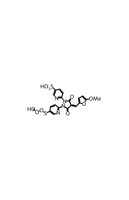 COc1ccc(/C=C2/C(=O)N(c3ccc(SOOO)cn3)N(c3ccc(S(=O)(=O)O)cn3)C2=O)o1